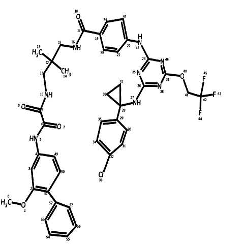 COc1cc(NC(=O)C(=O)NCC(C)(C)CNC(=O)c2ccc(Nc3nc(NC4(c5ccc(Cl)cc5)CC4)nc(OCC(F)(F)F)n3)cc2)ccc1-c1ccccc1